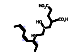 C\C=C/C=C\C(=C/C)NCP(O)CC(CCC(=O)O)C(=O)O